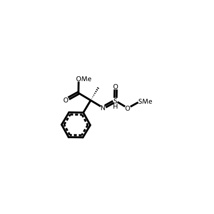 COC(=O)[C@@](C)(N=[SH](=O)OSC)c1ccccc1